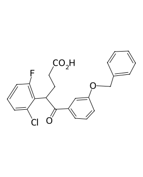 O=C(O)CCC(C(=O)c1cccc(OCc2ccccc2)c1)c1c(F)cccc1Cl